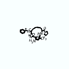 Nc1cc(C(F)(F)F)c2nc1-c1nnc(o1)[C@@](OCc1ccccc1)(C(F)(F)F)CCC=CCC(C(=O)N1CCCC1)N2